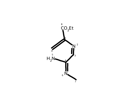 C=C(/N=C\C(N)=N/C)C(=O)OCC